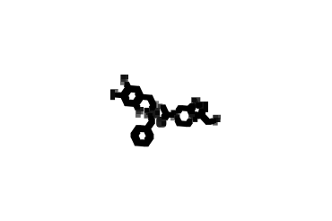 O=C(C[C@@H](Cc1cc(F)c(F)cc1F)NCc1ccccc1)N1CCn2c(CF)nnc2C1